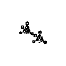 c1ccc(B2c3cc(-c4ccccc4)cc4c3N3c5c(cc(-c6ccc(-c7ccc(B8c9cc(-c%10ccccc%10)cc%10c9N9c%11c(cc(-c%12ccccc%12)cc%11Sc%11cc(-c%12ccccc%12)cc8c%119)S%10)cc7)cc6)cc5Oc5cc(-c6ccccc6)cc2c53)O4)cc1